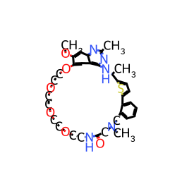 COc1cc2nc(C)nc3c2cc1OCCOCCOCCOCCNC(=O)CN(C)Cc1ccccc1-c1ccc(s1)C(C)N3